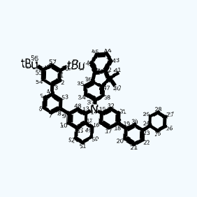 CC(C)(C)c1cc(-c2cccc(-c3cc4c(c(N(c5ccc(-c6cccc(C7CCCCC7)c6)cc5)c5ccc6c(c5)C(C)(C)c5ccccc5-6)c3)CCCC4)c2)cc(C(C)(C)C)c1